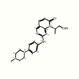 COCC(C)n1c(=O)ccc2cnc(Nc3ccc(N4CCN(C)CC4)cc3)nc21